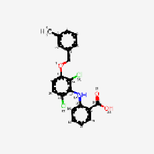 Cc1cccc(COc2ccc(Cl)c(Nc3ccccc3C(=O)O)c2Cl)c1